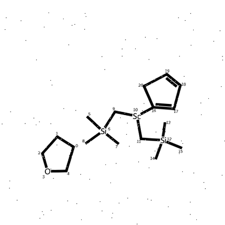 C1CCOC1.C[Si](C)(C)[CH2][Sc]([CH2][Si](C)(C)C)[C]1=CC=CC1